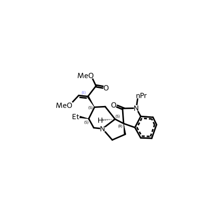 CCCN1C(=O)[C@]2(CCN3C[C@@H](CC)[C@@H](/C(=C\OC)C(=O)OC)C[C@H]32)c2ccccc21